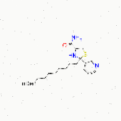 CCCCCCCCCCCCCCCCCCC1(c2cccnc2)NC(C(N)=O)CS1